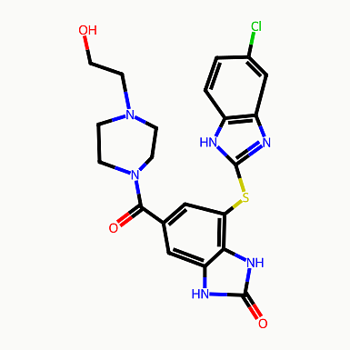 O=C(c1cc(Sc2nc3cc(Cl)ccc3[nH]2)c2[nH]c(=O)[nH]c2c1)N1CCN(CCO)CC1